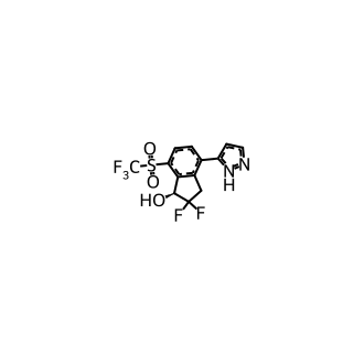 O=S(=O)(c1ccc(-c2ccn[nH]2)c2c1[C@H](O)C(F)(F)C2)C(F)(F)F